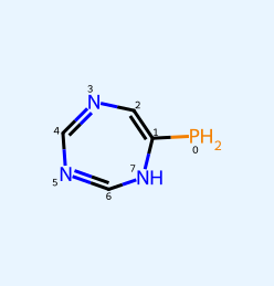 PC1=CN=CN=CN1